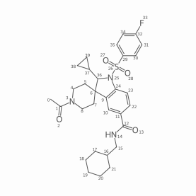 CC(=O)N1CCC2(CC1)c1cc(C(=O)NCC3CCCCC3)ccc1N(S(=O)(=O)c1ccc(F)cc1)C2C1CC1